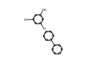 CCc1cc(O)cc(O)c1.c1ccc(-c2ccccc2)cc1